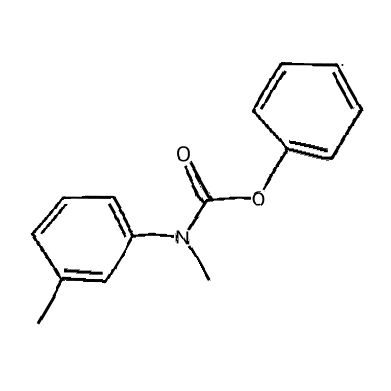 Cc1cccc(N(C)C(=O)Oc2cc[c]cc2)c1